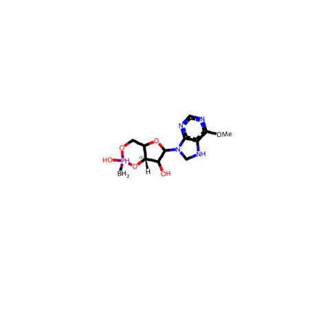 B[PH]1(O)OCC2OC(N3CNc4c(OC)ncnc43)C(O)[C@@H]2O1